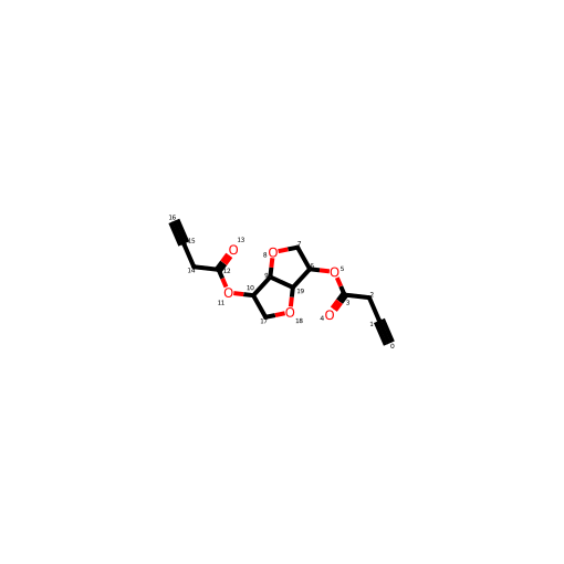 C#CCC(=O)OC1COC2C(OC(=O)CC#C)COC12